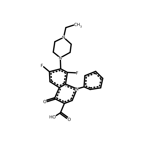 CCN1CCN(c2c(F)cc3c(=O)c(C(=O)O)cn(-c4ccccc4)c3c2F)CC1